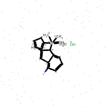 CC1=Cc2c(I)cccc2[CH]1[Zr]([CH3])([CH3])(=[SiH2])[C]1=CC=CC1.Cl.Cl